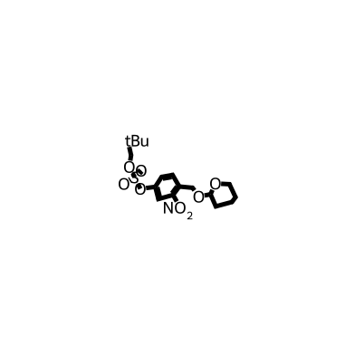 CC(C)(C)COS(=O)(=O)Oc1ccc(COC2CCCCO2)c([N+](=O)[O-])c1